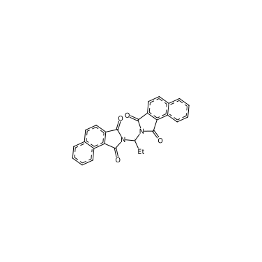 CC[C](N1C(=O)c2ccc3ccccc3c2C1=O)N1C(=O)c2ccc3ccccc3c2C1=O